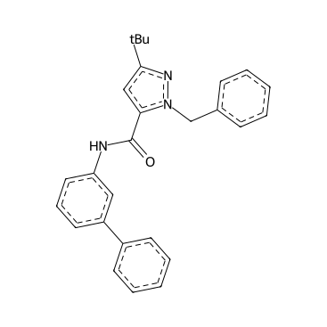 CC(C)(C)c1cc(C(=O)Nc2cccc(-c3ccccc3)c2)n(Cc2ccccc2)n1